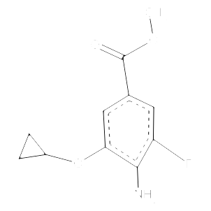 COC(=O)c1cc(F)c(N)c(OC2CC2)c1